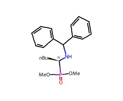 CCCC[C@@H](NC(c1ccccc1)c1ccccc1)P(=O)(OC)OC